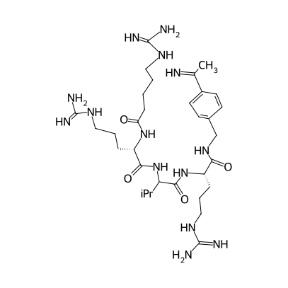 CC(=N)c1ccc(CNC(=O)[C@H](CCCNC(=N)N)NC(=O)C(NC(=O)[C@H](CCCNC(=N)N)NC(=O)CCCCNC(=N)N)C(C)C)cc1